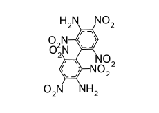 Nc1c([N+](=O)[O-])cc([N+](=O)[O-])c(-c2c([N+](=O)[O-])cc([N+](=O)[O-])c(N)c2[N+](=O)[O-])c1[N+](=O)[O-]